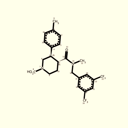 Cc1ccc([C@@H]2CN(C(=O)O)CC[C@H]2C(=O)N(C)Cc2cc(C(F)(F)F)cc(C(F)(F)F)c2)cc1